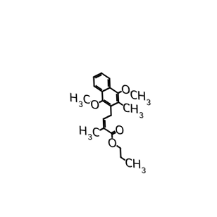 CCCOC(=O)C(C)=CCc1c(C)c(OC)c2ccccc2c1OC